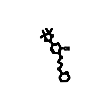 CC1(C)OB(c2ccc(OCCOC3CCCCO3)c(C#N)c2)OC1(C)C